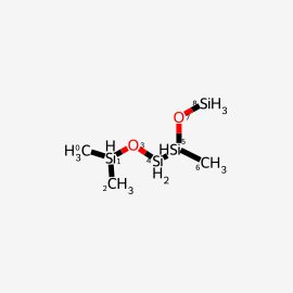 C[SiH](C)O[SiH2][SiH](C)O[SiH3]